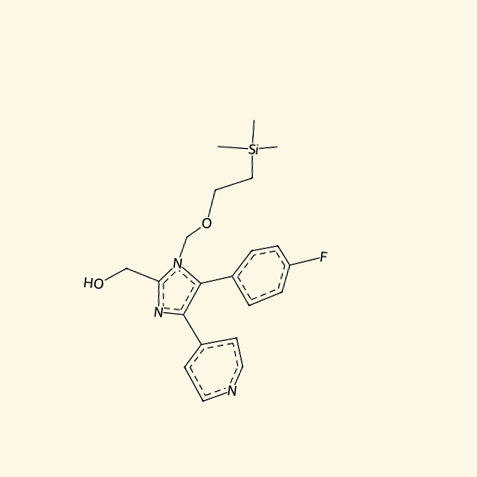 C[Si](C)(C)CCOCn1c(CO)nc(-c2ccncc2)c1-c1ccc(F)cc1